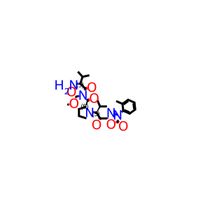 COC(=O)N(C(=O)[C@@H](N)C(C)C)C(=O)[C@@H]1CCCN1[C@H](C(=O)c1nn(-c2ccccc2C)c(=O)o1)C(C)C